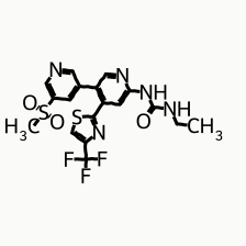 CCNC(=O)Nc1cc(-c2nc(C(F)(F)F)cs2)c(-c2cncc(S(C)(=O)=O)c2)cn1